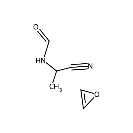 C1=CO1.CC(C#N)NC=O